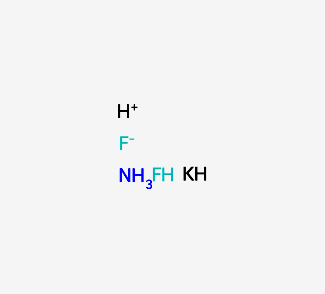 F.N.[F-].[H+].[KH]